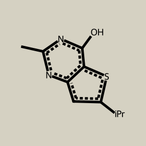 Cc1nc(O)c2sc(C(C)C)cc2n1